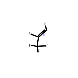 F/C=C(\F)C(F)(F)Cl